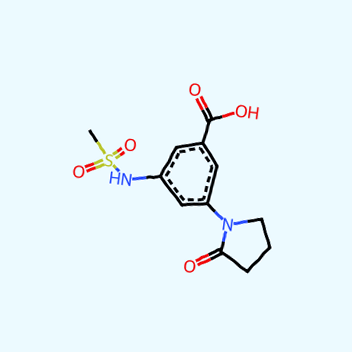 CS(=O)(=O)Nc1cc(C(=O)O)cc(N2CCCC2=O)c1